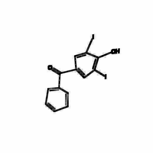 O=C(c1ccccc1)c1cc(I)c(O)c(I)c1